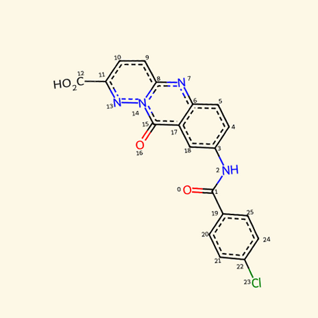 O=C(Nc1ccc2nc3ccc(C(=O)O)nn3c(=O)c2c1)c1ccc(Cl)cc1